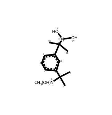 CN(O)C(C)(C)c1cccc(C(C)(C)N(O)O)c1